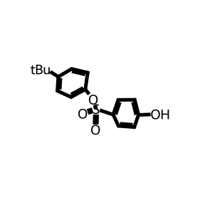 CC(C)(C)c1ccc(OS(=O)(=O)c2ccc(O)cc2)cc1